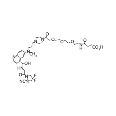 CN(CCCN1CCN(C(=O)COCCOCCOCCNC(=O)CCC(=O)O)CC1)c1ccc2nccc(C(O)NCC(=O)N3CC(F)(F)C[C@H]3C#N)c2c1